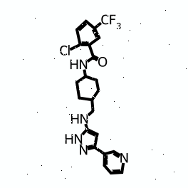 O=C(NC1CCC(CNc2cc(-c3cccnc3)n[nH]2)CC1)c1cc(C(F)(F)F)ccc1Cl